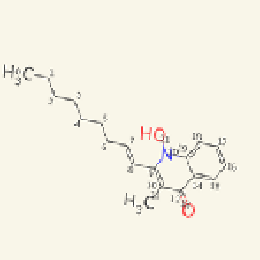 CCCCCCCC=Cc1c(C)c(=O)c2ccccc2n1O